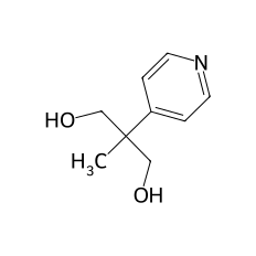 CC(CO)(CO)c1ccncc1